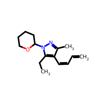 C=C/C=C\c1c(C)nn(C2CCCCO2)c1CC